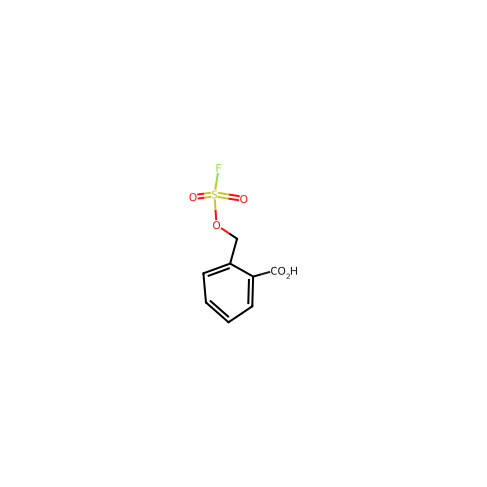 O=C(O)c1ccccc1COS(=O)(=O)F